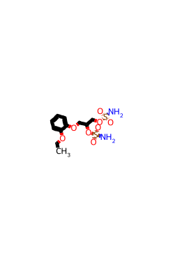 CCOc1ccccc1OCC(COS(N)(=O)=O)OS(N)(=O)=O